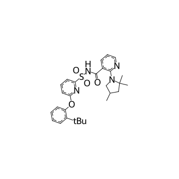 CC1CN(c2ncccc2C(=O)NS(=O)(=O)c2cccc(Oc3ccccc3C(C)(C)C)n2)C(C)(C)C1